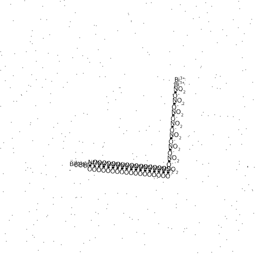 O=[N+]([O-])[O-].O=[N+]([O-])[O-].O=[N+]([O-])[O-].O=[N+]([O-])[O-].O=[N+]([O-])[O-].O=[N+]([O-])[O-].O=[N+]([O-])[O-].O=[N+]([O-])[O-].O=[N+]([O-])[O-].O=[N+]([O-])[O-].O=[N+]([O-])[O-].O=[N+]([O-])[O-].O=[N+]([O-])[O-].O=[N+]([O-])[O-].O=[N+]([O-])[O-].O=[N+]([O-])[O-].O=[N+]([O-])[O-].O=[N+]([O-])[O-].O=[N+]([O-])[O-].O=[N+]([O-])[O-].O=[N+]([O-])[O-].O=[N+]([O-])[O-].O=[N+]([O-])[O-].O=[N+]([O-])[O-].O=[N+]([O-])[O-].[Bi+3].[Bi+3].[Bi+3].[Bi+3].[Bi+3].[Bi+3]